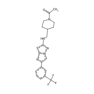 CC(=O)N1CCC(CNc2nn3cc(-c4cccc(C(F)(F)F)c4)nc3s2)CC1